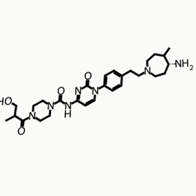 CC(CO)C(=O)N1CCN(C(=O)Nc2ccn(-c3ccc(CCN4CCC(C)[C@H](N)CC4)cc3)c(=O)n2)CC1